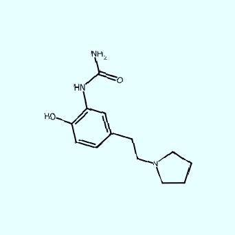 NC(=O)Nc1cc(CCN2CCCC2)ccc1O